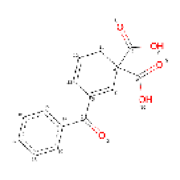 O=C(C1=CC(C(=O)O)(C(=O)O)CC=C1)c1ccccc1